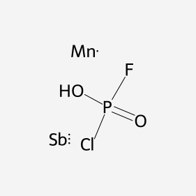 O=P(O)(F)Cl.[Mn].[Sb]